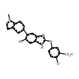 Cn1ccc2cc(-c3cc4nc(Oc5ccc(Cl)c(C(=O)O)c5)[nH]c4cc3Cl)ccc21